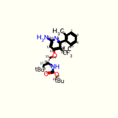 Cc1cccc(C)c1-c1nc(N)cc(OC[C@@H](CC(C)(C)C)NC(=O)OC(C)(C)C)c1C(F)(F)F